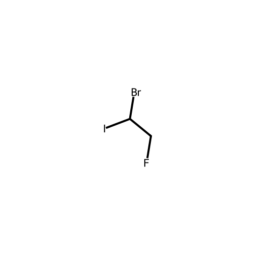 FCC(Br)I